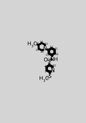 CSc1ccc([S+]([O-])Nc2cccc(N3CCC(C)CC3)c2)cn1